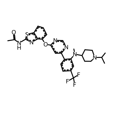 CC(=O)Nc1nc2c(Oc3cc(-c4ccc(C(F)(F)F)cc4N(C)C4CCN(C(C)C)CC4)ncn3)cccc2s1